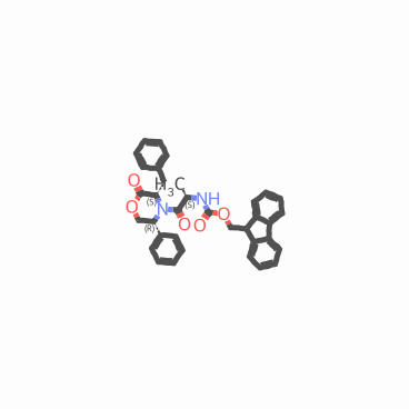 C[C@H](NC(=O)OCC1c2ccccc2-c2ccccc21)C(=O)N1[C@@H](Cc2ccccc2)C(=O)OC[C@H]1c1ccccc1